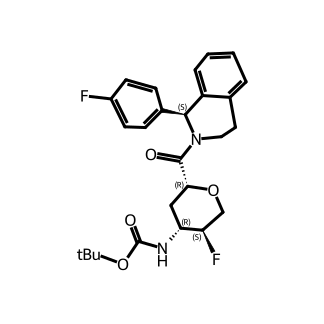 CC(C)(C)OC(=O)N[C@@H]1C[C@H](C(=O)N2CCc3ccccc3[C@@H]2c2ccc(F)cc2)OC[C@H]1F